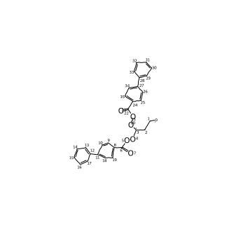 [CH2]CC[C](OOC(=O)c1ccc(-c2ccccc2)cc1)OOC(=O)c1ccc(-c2ccccc2)cc1